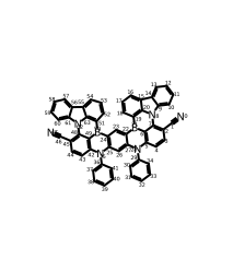 N#Cc1ccc2c3c1-n1c4ccccc4c4cccc(c41)B3c1cc3c(cc1N2c1ccccc1)N(c1ccccc1)c1ccc(C#N)c2c1B3c1cccc3c4ccccc4n-2c13